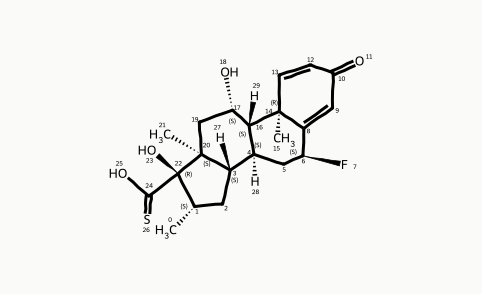 C[C@H]1C[C@H]2[C@@H]3C[C@H](F)C4=CC(=O)C=C[C@]4(C)[C@H]3[C@@H](O)C[C@]2(C)[C@@]1(O)C(O)=S